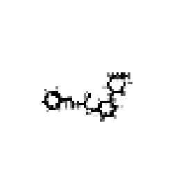 O=C(NCc1ccccc1)Oc1cccc(C2CCNCC2)c1